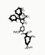 COc1cc(NC(C)=O)ccc1C(=O)N[C@H]1CCN(C(C)CC(C(=O)N(C)C)(c2ccccc2)c2ccccc2)C[C@@H]1O